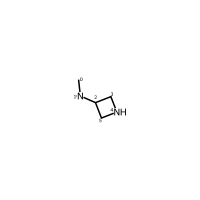 C[N]C1CNC1